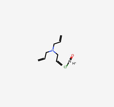 C=CCN(CC=C)CC=C.[H+].[O]=[Al][Cl]